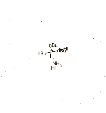 CCCC[PH](C)(CCCC)CCCC.I.I.I.N